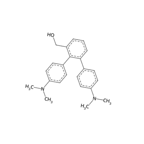 CN(C)c1ccc(-c2cccc(CO)c2-c2ccc(N(C)C)cc2)cc1